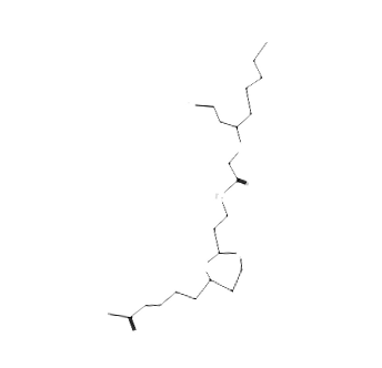 CCCCCC(CCS)SCC(=O)NCCC1SCCC(CCCCC(=O)O)S1